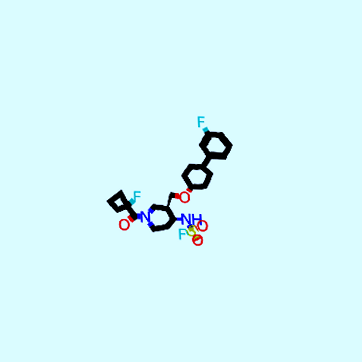 O=C(N1CC[C@H](NS(=O)(=O)F)[C@H](COC2CCC(c3cccc(F)c3)CC2)C1)C1(F)CCC1